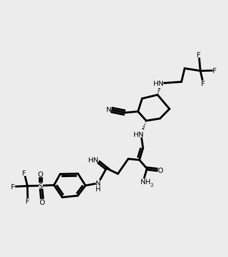 N#CC1C[C@H](NCCC(F)(F)F)CC[C@@H]1N/C=C(\CCC(=N)Nc1ccc(S(=O)(=O)C(F)(F)F)cc1)C(N)=O